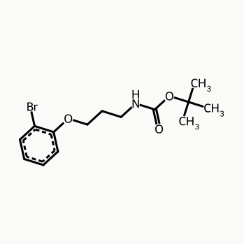 CC(C)(C)OC(=O)NCCCOc1ccccc1Br